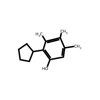 Cc1cc(O)c(C2CCCC2)c(C)c1C